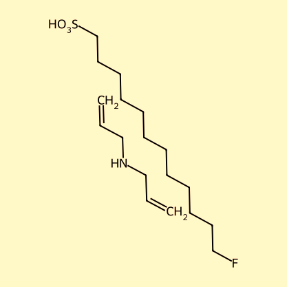 C=CCNCC=C.O=S(=O)(O)CCCCCCCCCCCCF